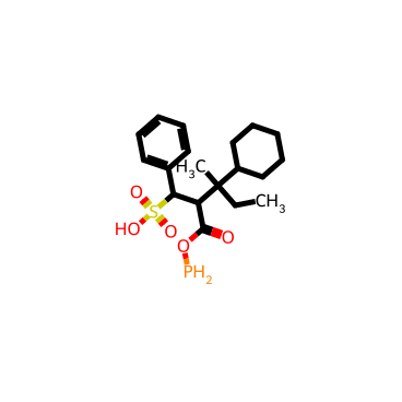 CCC(C)(C1CCCCC1)C(C(=O)OP)C(c1ccccc1)S(=O)(=O)O